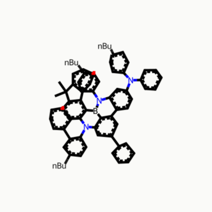 CCCCc1ccc(N2B3c4c(cc(-c5ccccc5)cc4N(c4ccc(CCCC)cc4-c4ccccc4)c4ccc5c(c43)-c3ccccc3C5(C)C)-c3ccc(N(c4ccccc4)c4ccc(CCCC)cc4)cc32)cc1